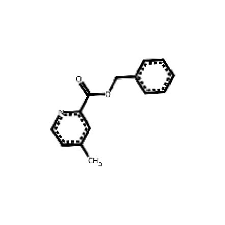 Cc1ccnc(C(=O)OCc2ccccc2)c1